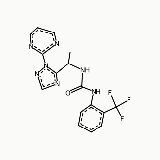 CC(NC(=O)Nc1ccccc1C(F)(F)F)c1ncnn1-c1ncccn1